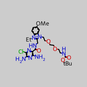 CC[n+]1c(CNC(=O)c2nc(Cl)c(N)nc2N)n(CCOCCOCCNC(=O)OC(C)(C)C)c2cc(OC)ccc21